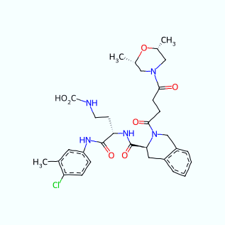 Cc1cc(NC(=O)[C@H](CCNC(=O)O)NC(=O)[C@@H]2Cc3ccccc3CN2C(=O)CCC(=O)N2C[C@@H](C)O[C@@H](C)C2)ccc1Cl